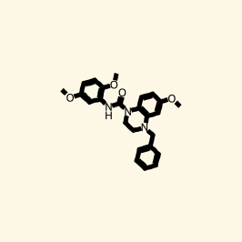 COc1ccc(OC)c(NC(=O)N2CCN(Cc3ccccc3)c3cc(OC)ccc32)c1